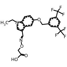 CCn1cc(C=NOCC(=O)O)c2cc(OCc3cc(C(F)(F)F)cc(C(F)(F)F)c3)ccc21